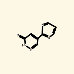 O=c1cc(-c2ncccn2)cn[nH]1